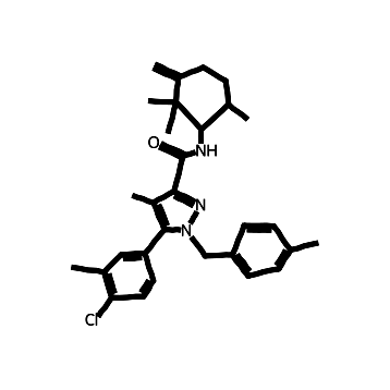 C=C1CCC(C)C(NC(=O)c2nn(Cc3ccc(C)cc3)c(-c3ccc(Cl)c(C)c3)c2C)C1(C)C